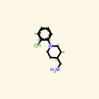 NCC1CCN(c2ccccc2Cl)CC1